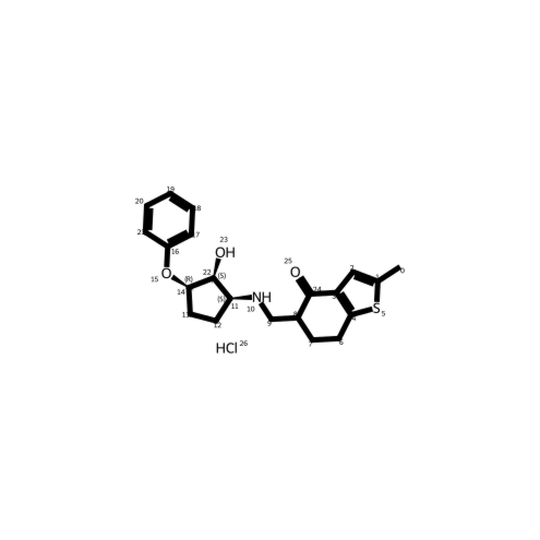 Cc1cc2c(s1)CCC(CN[C@H]1CC[C@@H](Oc3ccccc3)[C@H]1O)C2=O.Cl